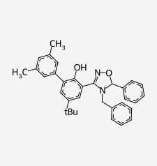 Cc1cc(C)cc(-c2cc(C(C)(C)C)cc(C3=NOC(c4ccccc4)N3Cc3ccccc3)c2O)c1